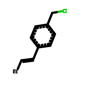 CCC=Cc1ccc(CCl)cc1